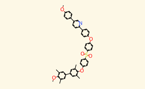 COc1ccc(-c2ccc(-c3ccc(Oc4ccc(S(=O)(=O)c5ccc(Oc6c(C)cc(-c7cc(C)c(OC)c(C)c7)cc6C)cc5)cc4)cc3)nc2)cc1